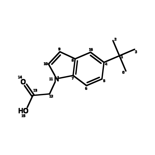 CC(C)(C)c1ccc2c(ccn2CC(=O)O)c1